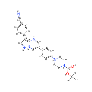 CC(C)(C)OC(=O)N1CCN(c2ccc(-c3cnc4c(-c5ccc(C#N)cc5)cnn4c3)cc2)CC1